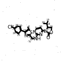 Cc1sc([C@@H](C)Nc2nccc(N3C(=O)OCC3C(C)C)n2)nc1-c1ccc(Cl)cc1